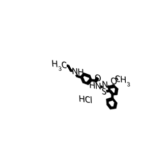 CCCNCc1ccc(C(=O)Nc2nc3c(OC)ccc(-c4ccccc4)c3s2)cc1.Cl